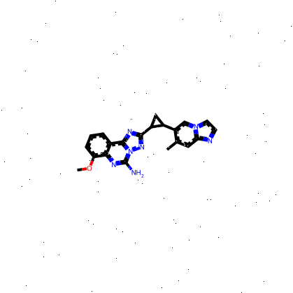 COc1cccc2c1nc(N)n1nc(C3CC3c3cn4ccnc4cc3C)nc21